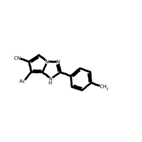 [C-]#[N+]c1cn2nc(-c3ccc(C)cc3)[nH]c2c1C(C)=O